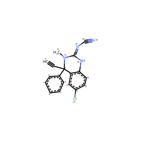 C#CC1(c2ccccc2)c2cc(Cl)ccc2NC(=NC#N)N1C